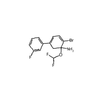 NC1(OC(F)F)CC(c2cccc(F)c2)=CC=C1Br